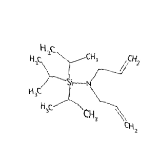 C=CCN(CC=C)[Si](C(C)C)(C(C)C)C(C)C